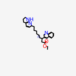 CCOC(=O)CC(/C=C/CCCCc1ccc2c(n1)NCCC2)c1cnc2ccccc2c1